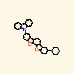 c1ccc2c(c1)c1ccccc1n2-c1ccc2oc3c(ccc4c5cc(C6CCCCC6)ccc5oc43)c2c1